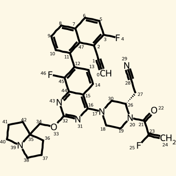 C#Cc1c(F)ccc2cccc(-c3ccc4c(N5CCN(C(=O)C(=C)F)[C@@H](CC#N)C5)nc(OCC56CCCN5CCC6)nc4c3F)c12